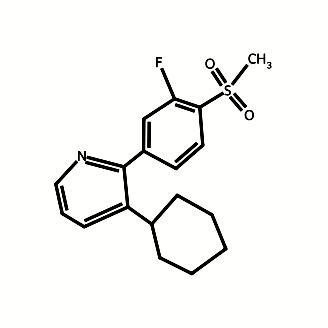 CS(=O)(=O)c1ccc(-c2ncccc2C2CCCCC2)cc1F